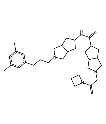 C=C(NC1CC2CN(CCCc3cc(C)cc(C)c3)CC2C1)C1CC2CN(CC(=C)N3CCC3)CC2C1